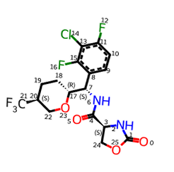 O=C1N[C@H](C(=O)N[C@@H](c2ccc(F)c(Cl)c2F)[C@H]2CC[C@H](C(F)(F)F)CO2)CO1